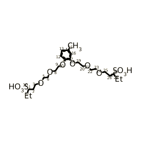 CCC(CCOCCOCCOc1ccc(C)cc1OCCOCCOCCC(CC)S(=O)(=O)O)S(=O)(=O)O